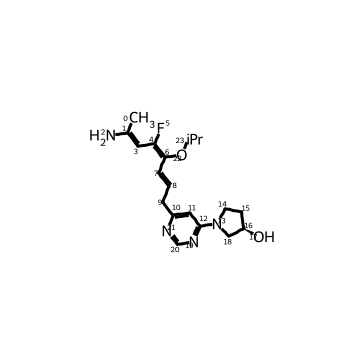 C\C(N)=C/C(F)=C(\C=C\Cc1cc(N2CC[C@@H](O)C2)ncn1)OC(C)C